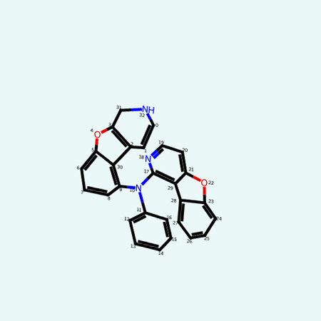 C1=Cc2c(oc3cccc(N(c4ccccc4)c4nccc5oc6ccccc6c45)c23)CN1